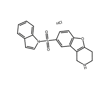 Cl.O=S(=O)(c1ccc2oc3c(c2c1)CNCC3)n1ccc2ccccc21